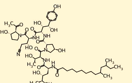 CCC(C)CC(C)CCCCCCCCC(=O)N[C@@H](C[C@@H](O)[C@H](C)O)C(=O)N[C@H](C(=O)N1C[C@H](O)C[C@H]1C(=O)N[C@H](C(=O)N[C@H](C(=O)N1CC[C@H](O)[C@H]1C(C)=O)[C@H](O)CC#N)[C@H](O)[C@@H](O)c1ccc(O)cc1)[C@@H](C)O